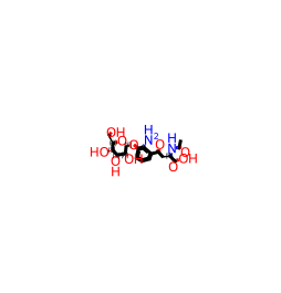 CC(=O)N[C@H](CC(=O)c1cccc(O[C@@H]2O[C@H](CO)[C@@H](O)[C@H](O)[C@H]2O)c1N)C(=O)O